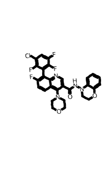 O=C(NN1CCOc2ccccc21)c1cnc2c(-c3c(F)c(F)cc(Cl)c3F)c(F)ccc2c1N1CCOCC1